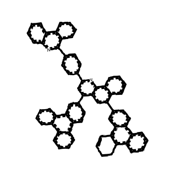 C1=Cc2c(c3ccccc3c3ccc(-c4cc5c(-c6ccc7c8ccccc8c8ccccc8c7c6)cc(-c6ccc(-c7nc8ccccc8c8ccccc78)cc6)nc5c5ccccc45)cc23)CC1